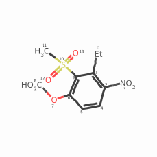 CCc1c([N+](=O)[O-])ccc(OC(=O)O)c1S(C)(=O)=O